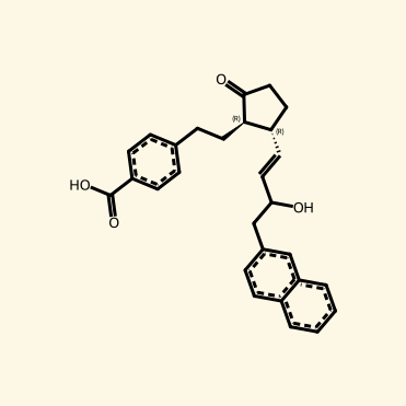 O=C(O)c1ccc(CC[C@H]2C(=O)CC[C@@H]2C=CC(O)Cc2ccc3ccccc3c2)cc1